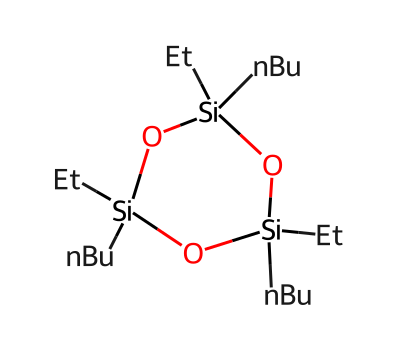 CCCC[Si]1(CC)O[Si](CC)(CCCC)O[Si](CC)(CCCC)O1